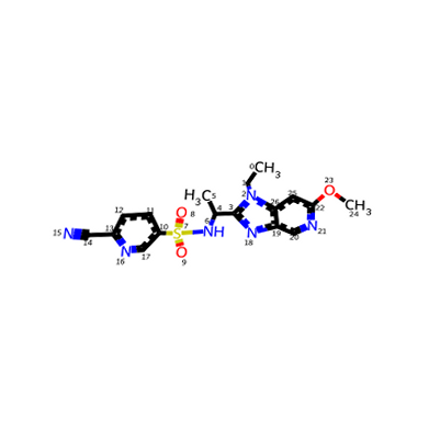 CCn1c(C(C)NS(=O)(=O)c2ccc(C#N)nc2)nc2cnc(OC)cc21